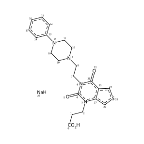 O=C(O)CCn1c(=O)n(CCN2CCN(c3ccccc3)CC2)c(=O)c2cscc21.[NaH]